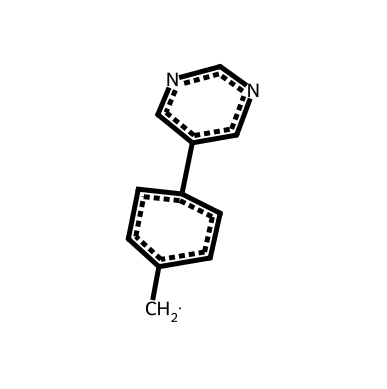 [CH2]c1ccc(-c2cncnc2)cc1